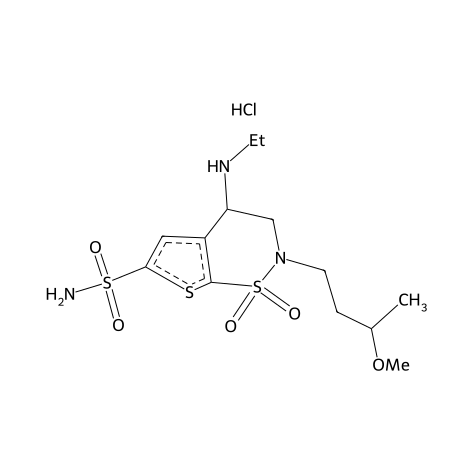 CCNC1CN(CCC(C)OC)S(=O)(=O)c2sc(S(N)(=O)=O)cc21.Cl